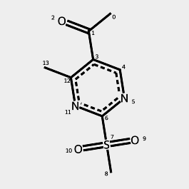 CC(=O)c1cnc(S(C)(=O)=O)nc1C